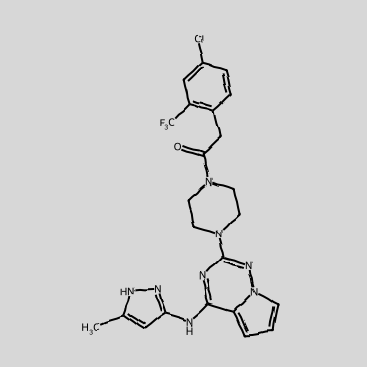 Cc1cc(Nc2nc(N3CCN(C(=O)Cc4ccc(Cl)cc4C(F)(F)F)CC3)nn3cccc23)n[nH]1